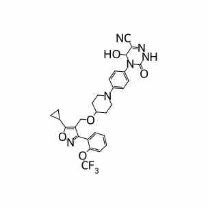 N#CC1=NNC(=O)N(c2ccc(N3CCC(OCc4c(-c5ccccc5OC(F)(F)F)noc4C4CC4)CC3)cc2)C1O